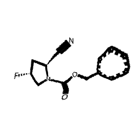 N#C[C@@H]1C[C@@H](F)CN1C(=O)OCc1ccccc1